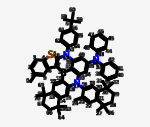 Cc1ccc2sc3c(c2c1)B1c2cc4c(cc2N(c2cc5c(cc2C)C(C)(C)CCC5(C)C)c2cc(N(c5ccccc5)c5ccccc5)cc(c21)N3c1ccc(C(C)(C)C)cc1)C(C)(C)CCC4(C)C